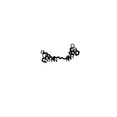 O=C1C=C2CC(n3cc(CCCCc4cn([C@@H]5CC6=CC(=O)O[C@@]67C[C@@H]5N5CCCC[C@@H]57)nn4)nn3)[C@@H]3C[C@@]2(O1)C1CCCCN13